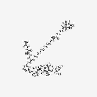 CCO[C@@H](C1C[C@@H](C)[C@H]2C(O1)[C@H](O)[C@@]1(C)C3CC[C@H]4C(C)(C)[C@@H](O[C@H]5CN(CCN(CCCOCCOCCOCCCNC(=O)CCCC[C@@H]6SC[C@@H]7NC(=O)N[C@@H]76)CCNC(=O)CCC6(C)N=N6)CCO5)CC[C@@]45CC35CC[C@]21C)C(C)(C)O